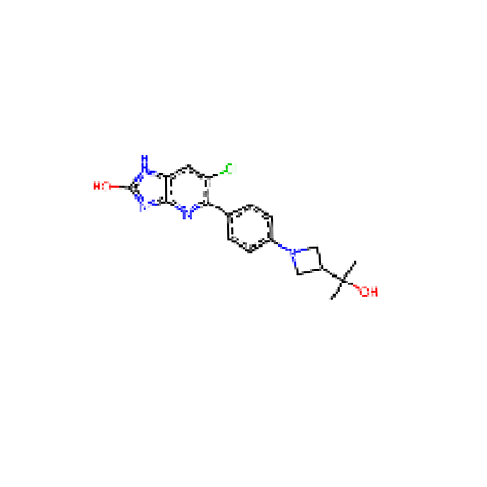 CC(C)(O)C1CN(c2ccc(-c3nc4nc(O)[nH]c4cc3Cl)cc2)C1